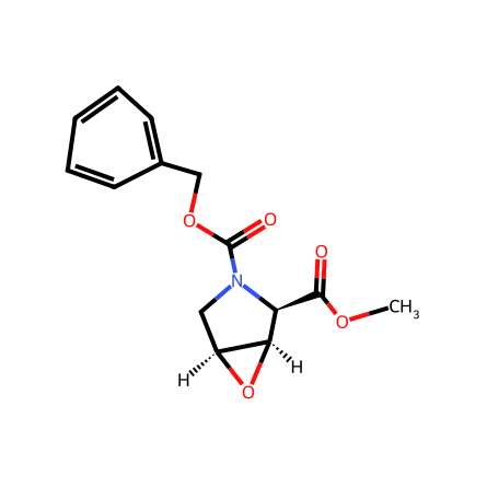 COC(=O)[C@H]1[C@H]2O[C@H]2CN1C(=O)OCc1ccccc1